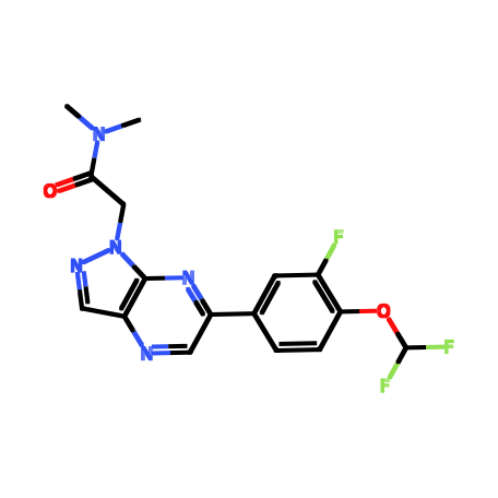 CN(C)C(=O)Cn1ncc2ncc(-c3ccc(OC(F)F)c(F)c3)nc21